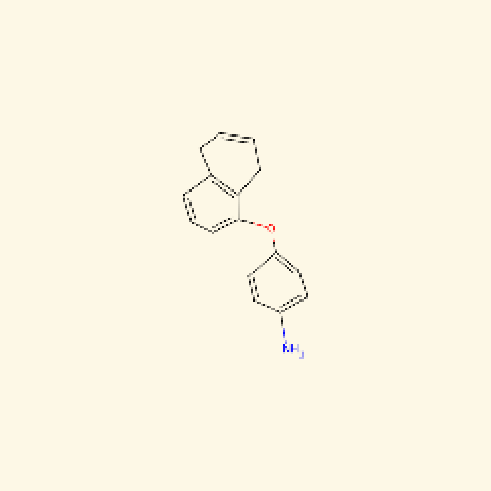 Nc1ccc(Oc2cccc3c2CC=CC3)cc1